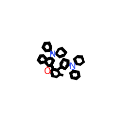 CC1CC=c2oc3c(cc(N(c4ccccc4)C4C=CC=CC4)c4ccccc43)c2=C1c1cccc(N(C2=CC=CCC2)c2ccccc2)c1